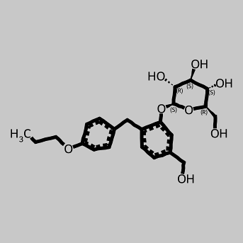 CCCOc1ccc(Cc2ccc(CO)cc2O[C@@H]2O[C@H](CO)[C@@H](O)[C@H](O)[C@H]2O)cc1